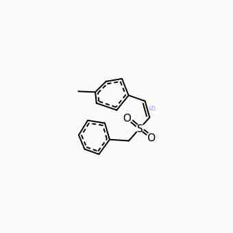 Cc1ccc(/C=C\S(=O)(=O)Cc2ccccc2)cc1